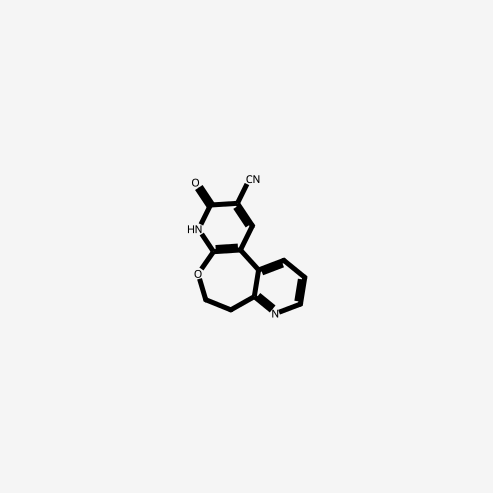 N#Cc1cc2c([nH]c1=O)OCCc1ncccc1-2